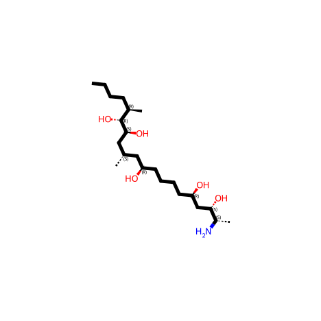 CCCC[C@@H](C)[C@@H](O)[C@@H](O)C[C@@H](C)C[C@H](O)CCCC[C@@H](O)C[C@H](O)[C@H](C)N